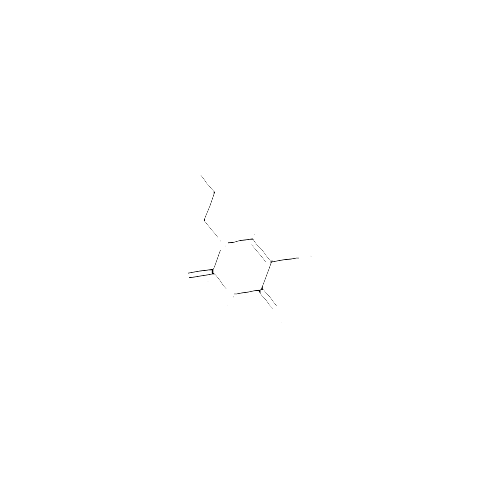 O=CCCn1cc(F)c(=O)[nH]c1=O